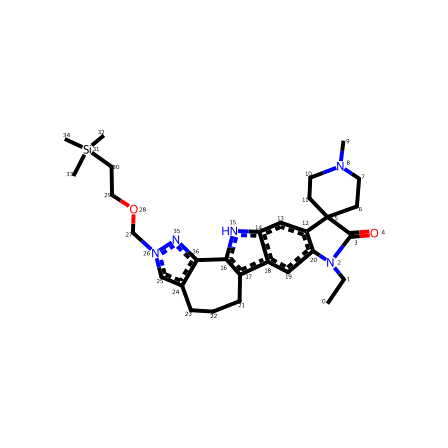 CCN1C(=O)C2(CCN(C)CC2)c2cc3[nH]c4c(c3cc21)CCCc1cn(COCC[Si](C)(C)C)nc1-4